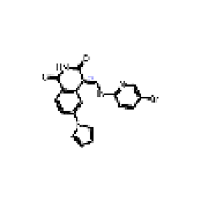 O=C1NC(=O)c2ccc(-n3cccc3)cc2/C1=C\Nc1ccc(Br)cn1